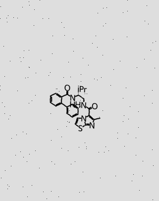 Cc1nc2sccn2c1C(=O)NC[C@H](NC(=O)c1ccccc1-c1ccccc1)C(C)C